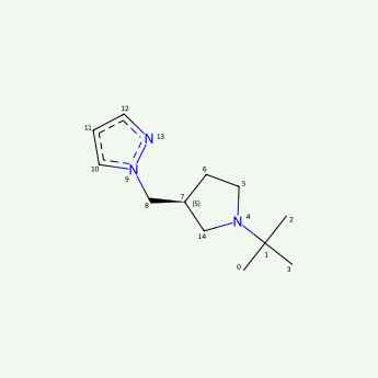 CC(C)(C)N1CC[C@H](Cn2cccn2)C1